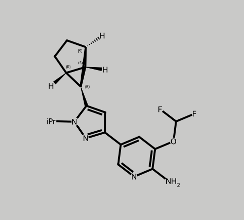 CC(C)n1nc(-c2cnc(N)c(OC(F)F)c2)cc1[C@@]12[C@@H]3[C@H]1CC[C@@H]32